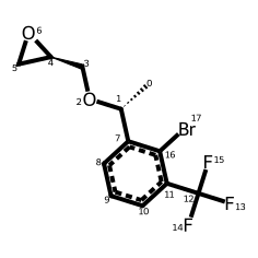 C[C@@H](OC[C@H]1CO1)c1cccc(C(F)(F)F)c1Br